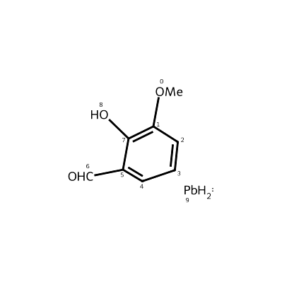 COc1cccc(C=O)c1O.[PbH2]